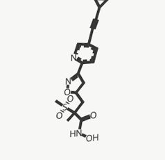 CC(CC1CC(c2ccc(C#CC3CC3)cn2)=NO1)(C(=O)NO)S(C)(=O)=O